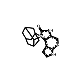 NC12CC3CC(C1)C(n1c(=O)[nH]c4cnc5[nH]ccc5c41)C(C3)C2